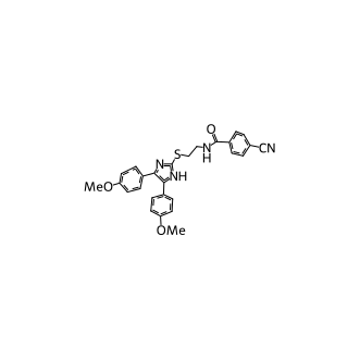 COc1ccc(-c2nc(SCCNC(=O)c3ccc(C#N)cc3)[nH]c2-c2ccc(OC)cc2)cc1